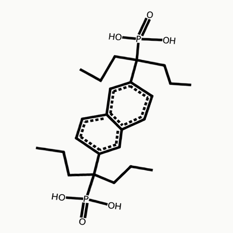 CCCC(CCC)(c1ccc2cc(C(CCC)(CCC)P(=O)(O)O)ccc2c1)P(=O)(O)O